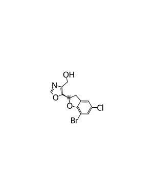 OCc1ncoc1[C@H]1Cc2cc(Cl)cc(Br)c2O1